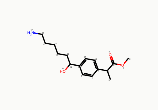 COC(=O)C(C)c1ccc(C(O)CCCCCN)cc1